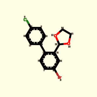 Clc1ccc(-c2ccc(Br)cc2C2OCCO2)cc1